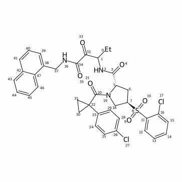 CCC(NC(=O)[C@@H]1C[C@@H](S(=O)(=O)c2ccccc2Cl)CN1C(=O)C1(c2ccc(Cl)cc2)CC1)C(=O)C(=O)NCc1cccc2ccccc12